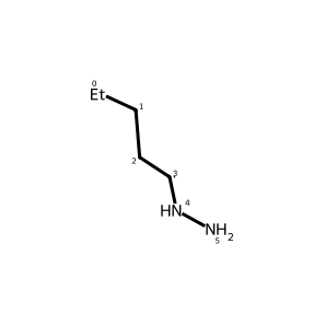 CCCC[CH]NN